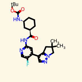 CC1(C)Cc2c(-c3cc(NC(=O)[C@@H]4CCC[C@@H](NC(=O)OC(C)(C)C)C4)ncc3F)cnn2C1